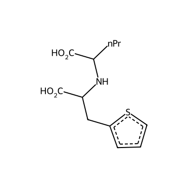 CCCC(NC(Cc1cccs1)C(=O)O)C(=O)O